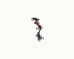 CCc1nc(-c2cccc3cc(-c4ccc(C(=O)NCC#Cc5ccc6c(c5)CN(C5CCC(=O)NC5=O)C6=O)nc4)ncc23)c2n1CCN(C(C)=O)C2